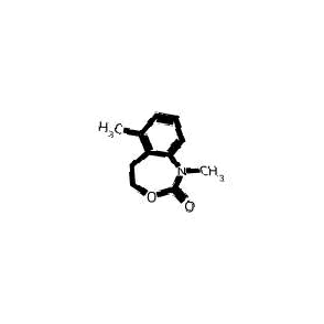 Cc1cccc2c1CCOC(=O)N2C